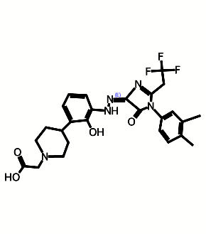 Cc1ccc(N2C(=O)/C(=N\Nc3cccc(C4CCN(CC(=O)O)CC4)c3O)N=C2CC(F)(F)F)cc1C